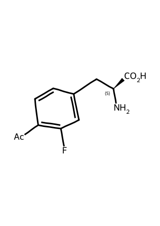 CC(=O)c1ccc(C[C@H](N)C(=O)O)cc1F